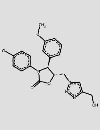 COc1cccc([C@H]2[C@H](Cn3cc(CO)nn3)OC(=O)N2c2ccc(Cl)cc2)c1